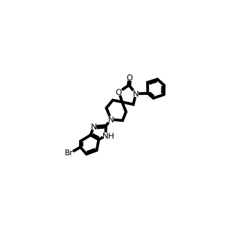 O=C1OC2(CCN(c3nc4cc(Br)ccc4[nH]3)CC2)CN1c1ccccc1